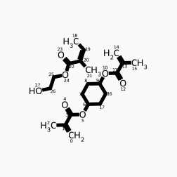 C=C(C)C(=O)OC1CCC(OC(=O)C(=C)C)CC1.CC=C(C)C(=O)OCCO